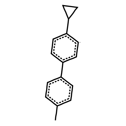 Cc1ccc(-c2c[c]c(C3CC3)cc2)cc1